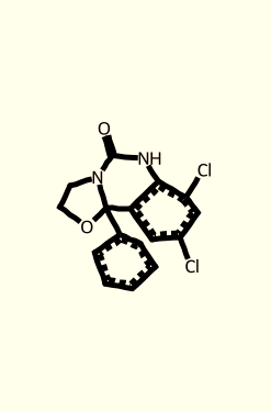 O=C1Nc2c(Cl)cc(Cl)cc2C2(c3ccccc3)OCCN12